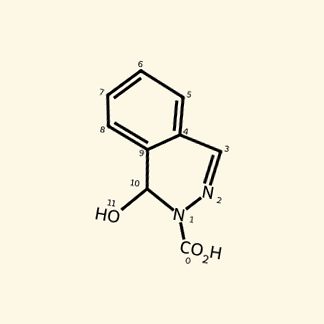 O=C(O)N1N=Cc2ccccc2C1O